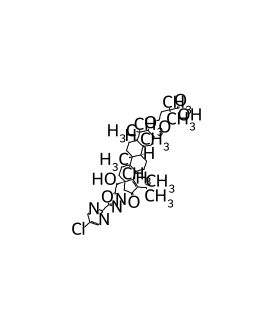 CC(C)C1=C2[C@H]3CC[C@@H]4[C@@]5(C)CC[C@H](OC(=O)CC(C)(C)C(=O)O)C(C)(C)[C@@H]5CC[C@@]4(C)[C@]3(C)CC[C@@]2(C(O)c2nnc(-c3ncc(Cl)cn3)o2)CC1=O